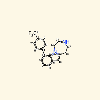 FC(F)(F)c1ccc(-c2cccc3cc4n(c23)CCNCC4)cc1